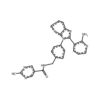 N#Cc1ncc(C(=O)NCc2ccc(-n3c(-c4cccnc4N)nc4cccnc43)cc2)cn1